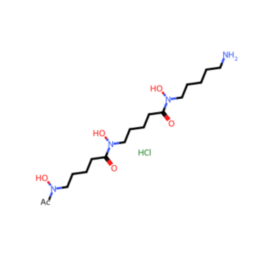 CC(=O)N(O)CCCCC(=O)N(O)CCCCC(=O)N(O)CCCCCN.Cl